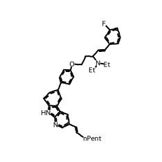 CCCCCC=Cc1cnc2[nH]c3ccc(-c4ccc(OCCC(C=Cc5cccc(F)c5)N(CC)CC)cc4)cc3c2c1